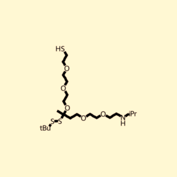 CC(C)NCCOCCOCCC(C)(OCCOCCOCCS)SSC(C)(C)C